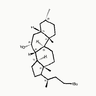 C[C@@H]1CC[C@@]2(C)[C@@H](C1)C[C@@H](O)[C@@H]1[C@@H]2CC[C@]2(C)C([C@H](C)CCC(C)(C)C)CC[C@@H]12